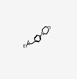 CCN(C)Cc1ccc(N2CCOCC2)cc1